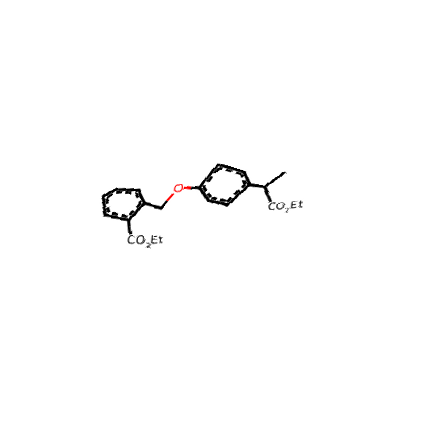 CCOC(=O)c1ccccc1COc1ccc(C(C)C(=O)OCC)cc1